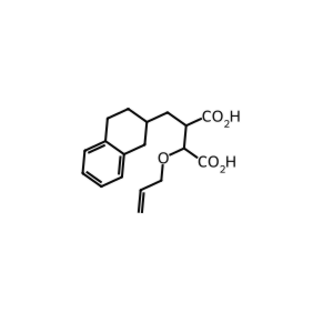 C=CCOC(C(=O)O)C(CC1CCc2ccccc2C1)C(=O)O